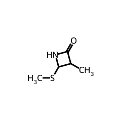 CSC1NC(=O)C1C